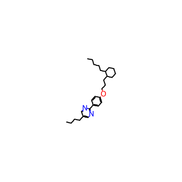 CCCCCC1CCCCC1CCCOc1ccc(-c2ncc(CCCC)cn2)cc1